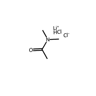 CC(=O)N(C)C.Cl.[Cl-].[Li+]